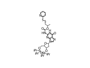 CC(CSSc1ccccn1)OC(=O)Nc1nc2c(ncn2C2CC3O[Si](C(C)C)(C(C)C)O[Si](C(C)C)(C(C)C)OCC3O2)c(=O)[nH]1